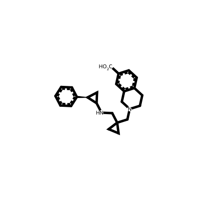 O=C(O)c1ccc2c(c1)CN(CC1(CNC3C[C@@H]3c3ccccc3)CC1)CC2